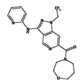 O=C(c1cc2c(cn1)c(Nc1ccccn1)nn2CC(F)(F)F)N1CCCOCC1